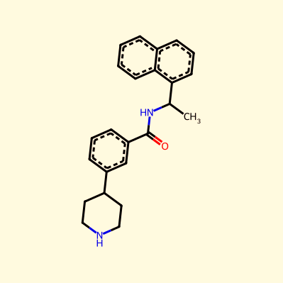 CC(NC(=O)c1cccc(C2CCNCC2)c1)c1cccc2ccccc12